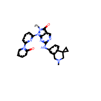 CC(C)n1c(=O)c2cnc(Nc3ccc4c(c3)CN(C)CC43CC3)nc2n1-c1cccc(-n2ccccc2=O)n1